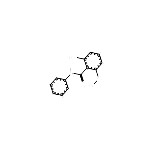 Cc1cccc(OC(C)C)c1C(=O)Nc1ccccc1